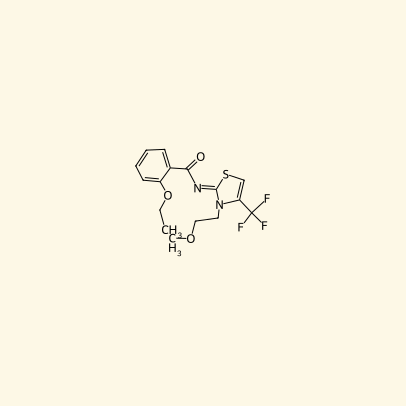 CCOc1ccccc1C(=O)/N=c1\scc(C(F)(F)F)n1CCOC